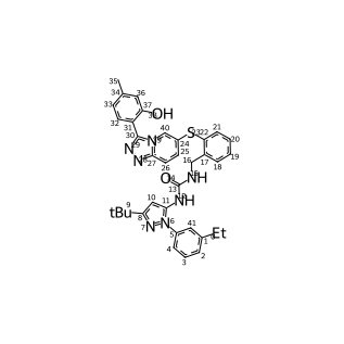 CCc1cccc(-n2nc(C(C)(C)C)cc2NC(=O)NCc2ccccc2Sc2ccc3nnc(-c4ccc(C)cc4O)n3c2)c1